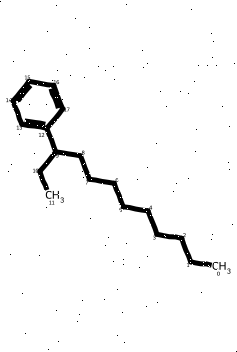 CCCCCCCCCC(CC)c1ccccc1